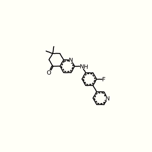 CC1(C)CC(=O)c2ccc(Nc3ccc(-c4cccnc4)c(F)c3)nc2C1